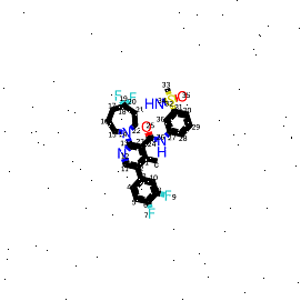 Cc1c(-c2ccc(F)c(F)c2)cnc(N2CCCC(F)(F)CC2)c1C(=O)Nc1cccc(S(C)(=N)=O)c1